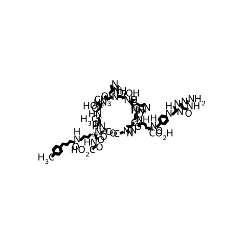 Cc1ccc(CCCC(=O)NCCCC[C@H](NC(=O)[C@@H]2CCCCn3cc(nn3)C[C@H](NC(=O)CC[C@H](NC(=O)c3ccc(NCc4cnc5nc(N)[nH]c(=O)c5n4)cc3)C(=O)O)C(=O)N[C@H](Cc3cnc[nH]3)C(=O)N[C@H](CO)C(=O)N[C@H](Cc3cnc[nH]3)C(=O)N[C@H]([C@H](C)O)C(=O)N[C@H](C)C(=O)N2)C(=O)NC(=O)C(=O)O)cc1